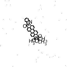 CC(C)(C)N1C(=O)c2ccc3c4c(c5c6c7c(ccc63)C(=O)n3c(nc6ccccc63)C7C=C5)C=CC(C1=O)c24